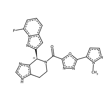 Cn1nccc1-c1nnc(C(=O)N2CCc3[nH]cnc3[C@H]2c2cc3cccc(F)n3n2)o1